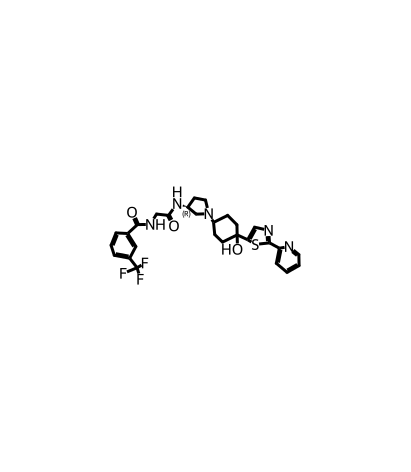 O=C(CNC(=O)c1cccc(C(F)(F)F)c1)N[C@@H]1CCN(C2CCC(O)(c3cnc(-c4ccccn4)s3)CC2)C1